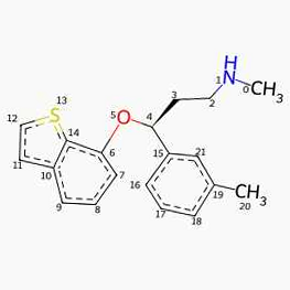 CNCC[C@H](Oc1cccc2ccsc12)c1cccc(C)c1